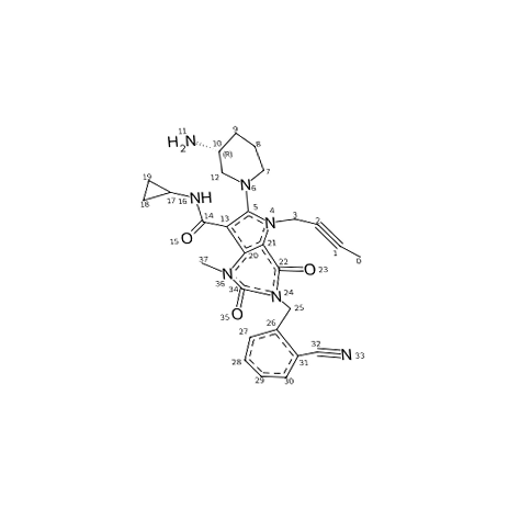 CC#CCn1c(N2CCC[C@@H](N)C2)c(C(=O)NC2CC2)c2c1c(=O)n(Cc1ccccc1C#N)c(=O)n2C